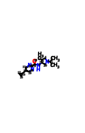 CC(C)N1C[C@@H](C)[C@H](NC(=O)c2ncc(C3CC3)cn2)C1